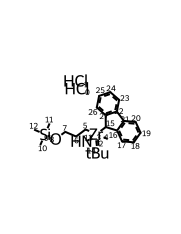 Cl.Cl.[CH2]=[Zr]([CH3])([CH2]CCO[Si](C)(C)C)([NH]C(C)(C)C)[CH]1c2ccccc2-c2ccccc21